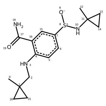 CC1(CNc2ccc([S+]([O-])NC3(C)CC3)cc2C(N)=O)CC1